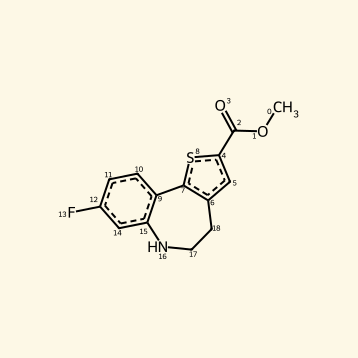 COC(=O)c1cc2c(s1)-c1ccc(F)cc1NCC2